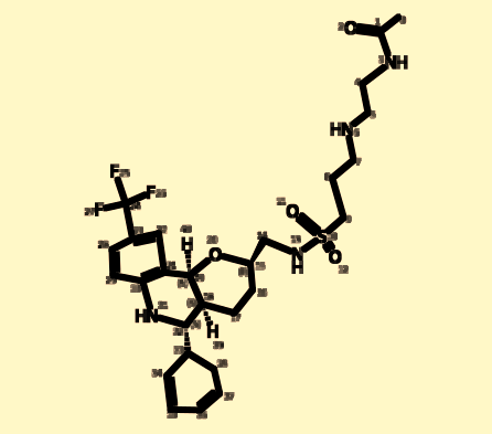 CC(=O)NCCNCCCS(=O)(=O)NC[C@H]1CC[C@@H]2[C@H](O1)c1cc(C(F)(F)F)ccc1N[C@H]2C1C=CC=CC1